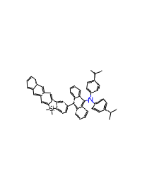 CC(C)c1ccc(N(c2ccc(C(C)C)cc2)c2c3ccccc3c(-c3ccc4c(c3)-c3cc5cc6ccccc6cc5cc3[Si]4(C)C)c3ccccc23)cc1